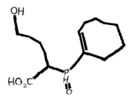 O=C(O)C(CCO)[PH](=O)C1=CCCCC1